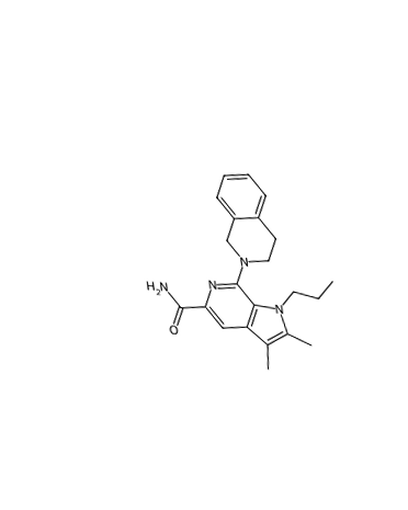 CCCn1c(C)c(C)c2cc(C(N)=O)nc(N3CCc4ccccc4C3)c21